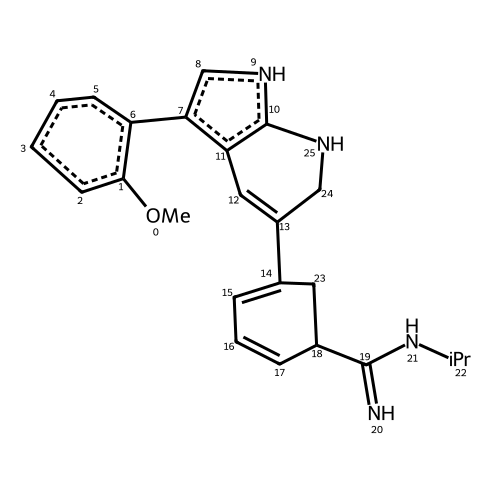 COc1ccccc1-c1c[nH]c2c1C=C(C1=CC=CC(C(=N)NC(C)C)C1)CN2